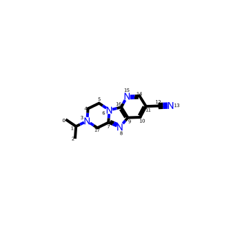 CC(C)N1CCn2c(nc3cc(C#N)cnc32)C1